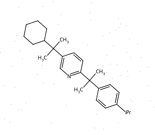 CC(C)c1ccc(C(C)(C)c2ccc(C(C)(C)C3CCCCC3)cn2)cc1